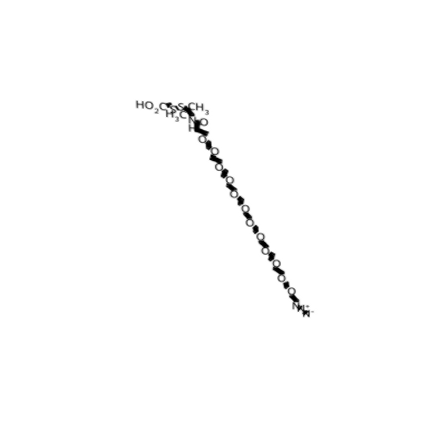 CC(C)(CNC(=O)CCOCCOCCOCCOCCOCCOCCOCCOCCOCCOCCOCCOCCN=[N+]=[N-])SSCC(=O)O